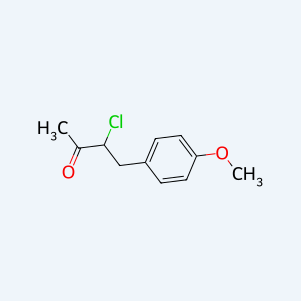 COc1ccc(CC(Cl)C(C)=O)cc1